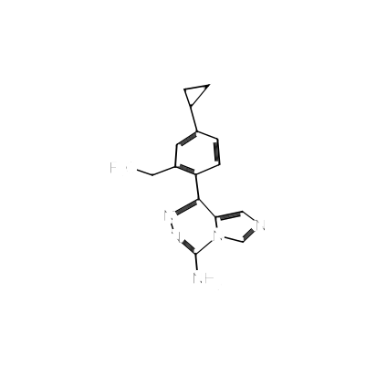 Nc1nnc(-c2ccc(C3CC3)cc2CC(F)(F)F)c2cncn12